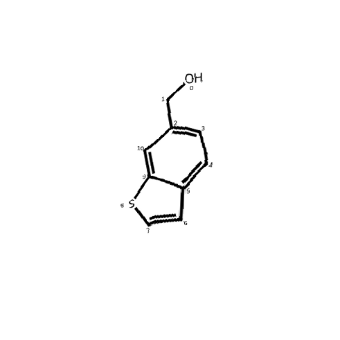 OCc1ccc2ccsc2c1